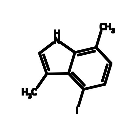 Cc1ccc(I)c2c(C)c[nH]c12